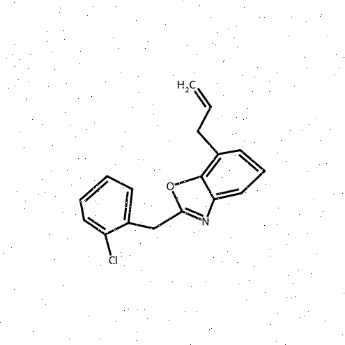 C=CCc1cccc2nc(Cc3ccccc3Cl)oc12